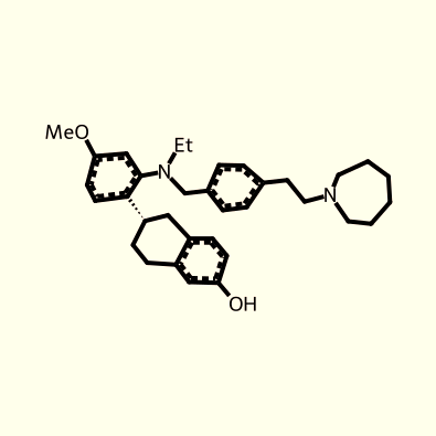 CCN(Cc1ccc(CCN2CCCCCC2)cc1)c1cc(OC)ccc1[C@H]1CCc2cc(O)ccc2C1